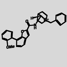 COc1ccccc1-c1cccc2cc(C(=O)N[C@H]3C[N+]4(Cc5ccccc5)CCC3CC4)oc12